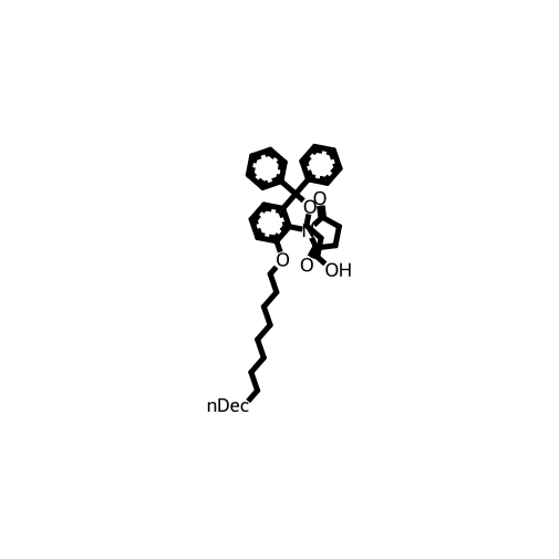 CCCCCCCCCCCCCCCCCCOc1cccc(C(OCCCO)(c2ccccc2)c2ccccc2)c1N1C(=O)CCC1=O